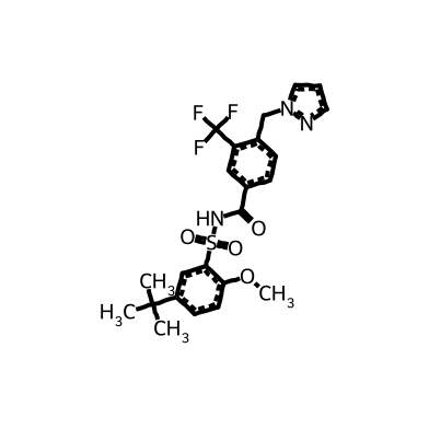 COc1ccc(C(C)(C)C)cc1S(=O)(=O)NC(=O)c1ccc(Cn2cccn2)c(C(F)(F)F)c1